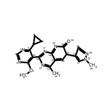 COc1ncnc(C2CC2)c1-c1nc(C)c2c(n1)=NC(=O)C(c1cnn(C)c1)C=2